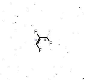 C[C@H](F)/C(F)=[C]\F